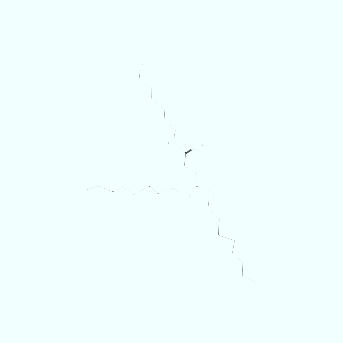 CCCCCCCCOC(CCC(=O)OCCCCCCBr)OCCCCCCCC